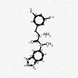 CN(C(=O)[C@@H](N)Cc1cc(F)cc(F)c1)c1ccc2snnc2c1